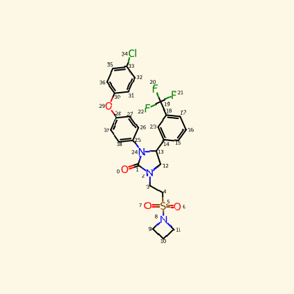 O=C1N(CCS(=O)(=O)N2CCC2)CC(c2cccc(C(F)(F)F)c2)N1c1ccc(Oc2ccc(Cl)cc2)cc1